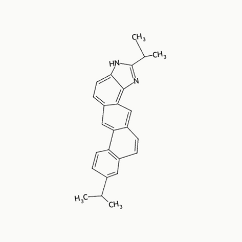 CC(C)c1ccc2c(ccc3cc4c(ccc5[nH]c(C(C)C)nc54)cc32)c1